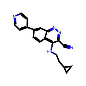 N#Cc1nnc2cc(-c3ccncc3)ccc2c1NCCC1CC1